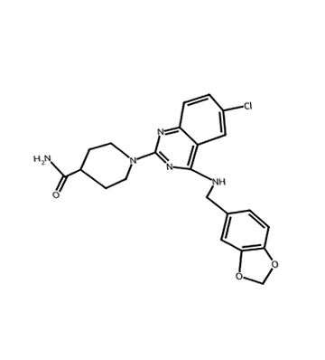 NC(=O)C1CCN(c2nc(NCc3ccc4c(c3)OCO4)c3cc(Cl)ccc3n2)CC1